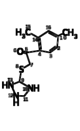 Cc1ccc(C(=O)CSC2NCNN2)c(C)c1